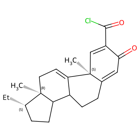 CC[C@H]1CCC2C3CCC4=CC(=O)C(C(=O)Cl)=C[C@]4(C)C3=CC[C@@]21C